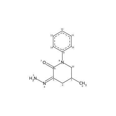 CC1CC(=NN)C(=O)N(c2ccccc2)C1